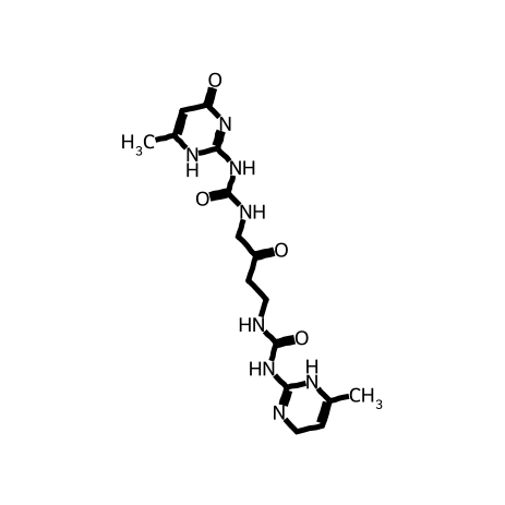 CC1=CCN=C(NC(=O)NCCC(=O)CNC(=O)Nc2nc(=O)cc(C)[nH]2)N1